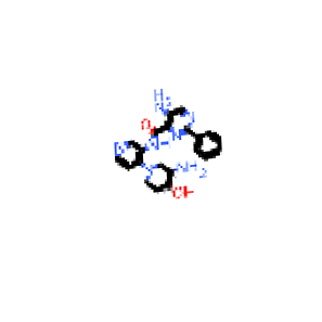 Nc1cnc(-c2ccccc2)nc1C(=O)Nc1cnccc1N1CC[C@@H](O)[C@H](N)C1